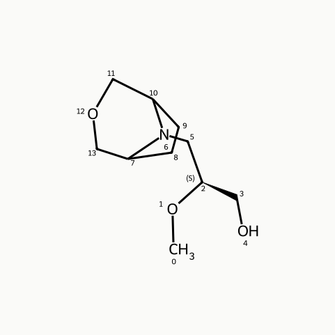 CO[C@H](CO)CN1C2CCC1COC2